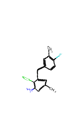 Cc1cc(N)c(Cl)c(Cc2ccc(F)c(C)c2)c1